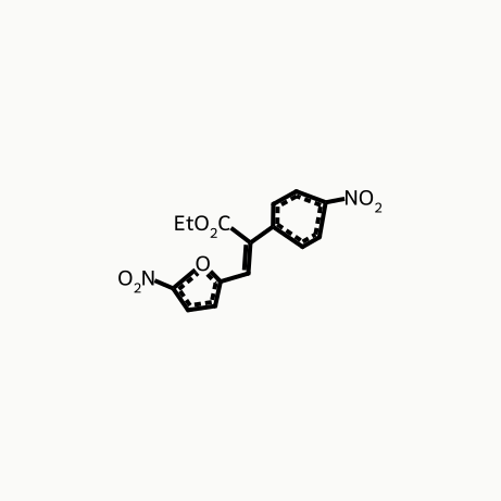 CCOC(=O)C(=Cc1ccc([N+](=O)[O-])o1)c1ccc([N+](=O)[O-])cc1